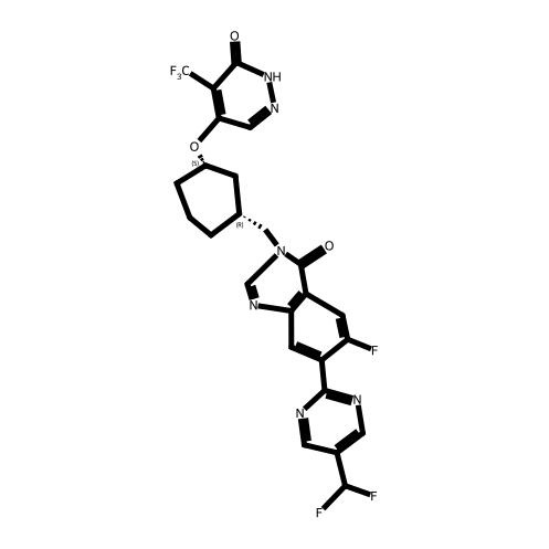 O=c1[nH]ncc(O[C@H]2CCC[C@@H](Cn3cnc4cc(-c5ncc(C(F)F)cn5)c(F)cc4c3=O)C2)c1C(F)(F)F